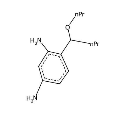 CCCOC(CCC)c1ccc(N)cc1N